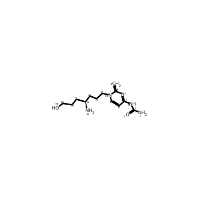 C=C1N=C(NC(N)=O)C=CN1CCC[C@@H](N)CCCO